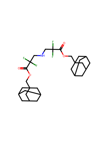 O=C(OCC12CC3CC(CC(C3)C1)C2)C(F)(F)CNCC(F)(F)C(=O)OCC12CC3CC(CC(C3)C1)C2